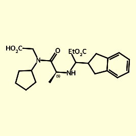 CCOC(=O)C(N[C@@H](C)C(=O)N(CC(=O)O)C1CCCC1)C1Cc2ccccc2C1